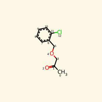 CC(=O)COCc1ccccc1Cl